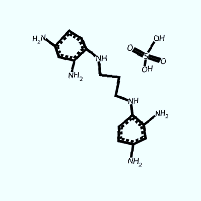 Nc1ccc(NCCCNc2ccc(N)cc2N)c(N)c1.O=S(=O)(O)O